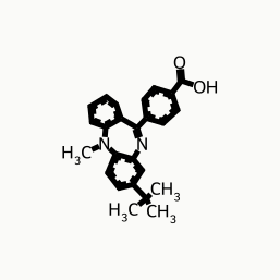 CN1c2ccc(C(C)(C)C)cc2N=C(c2ccc(C(=O)O)cc2)c2ccccc21